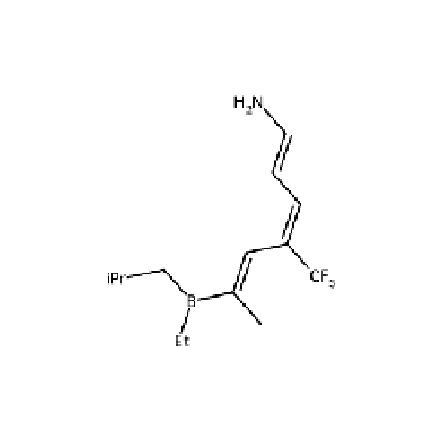 CCB(CC(C)C)/C(C)=C/C(=C\C=C\N)C(F)(F)F